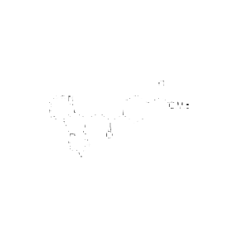 COC(=O)C1CCC(C(=O)CC2c3ncccc3-c3cncn32)CC1